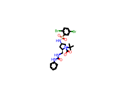 CC(C)(C)[N+]1(C(=O)[O-])C[C@H](NS(=O)(=O)c2cc(Br)ccc2Br)C[C@@H]1CNC(=O)Nc1ccccc1